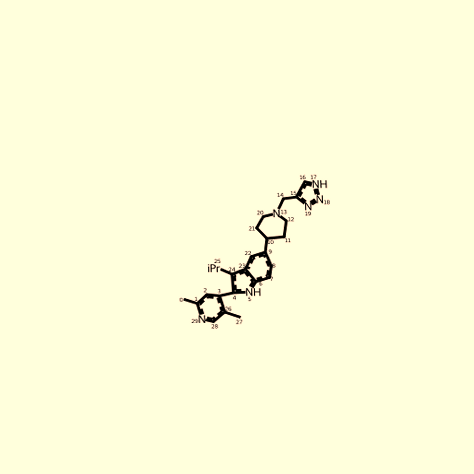 Cc1cc(-c2[nH]c3ccc(C4CCN(Cc5c[nH]nn5)CC4)cc3c2C(C)C)c(C)cn1